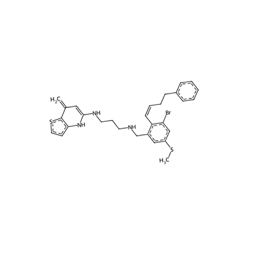 C=C1C=C(NCCCNCc2cc(SC)cc(Br)c2/C=C\CCc2ccccc2)Nc2ccsc21